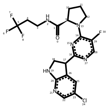 O=C(NCCC(F)(F)F)[C@H]1CCCN1c1nc(C2CNc3ncc(Cl)cc32)ncc1F